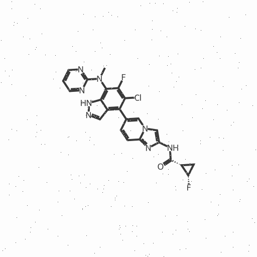 CN(c1ncccn1)c1c(F)c(Cl)c(-c2ccc3nc(NC(=O)[C@@H]4C[C@@H]4F)cn3c2)c2cn[nH]c12